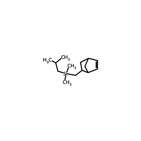 CC(C)C[Si](C)(C)CC1CC2C=CC1C2